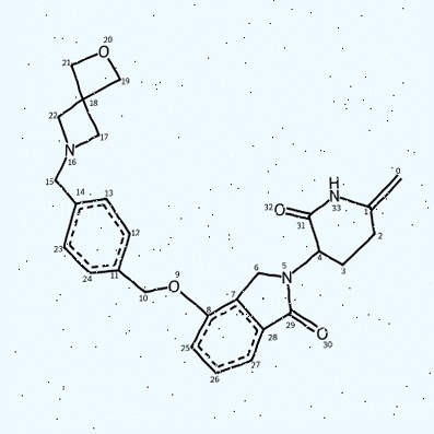 C=C1CCC(N2Cc3c(OCc4ccc(CN5CC6(COC6)C5)cc4)cccc3C2=O)C(=O)N1